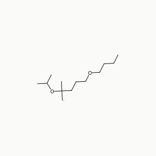 [CH2]C(C)(CCCOCCCC)OC(C)C